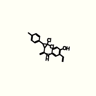 C=Cc1cc(NC(=C)C2C(c3ccc(C)cc3)C2(Cl)Cl)ccc1O